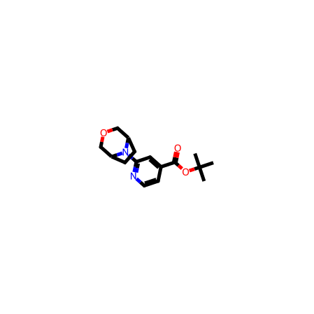 CC(C)(C)OC(=O)c1ccnc(N2C3CCC2COC3)c1